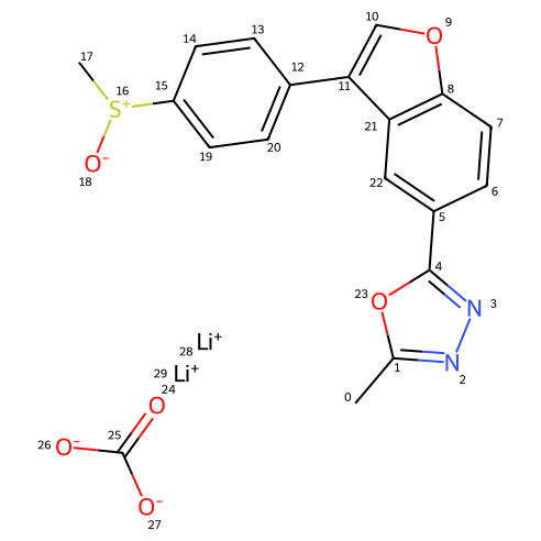 Cc1nnc(-c2ccc3occ(-c4ccc([S+](C)[O-])cc4)c3c2)o1.O=C([O-])[O-].[Li+].[Li+]